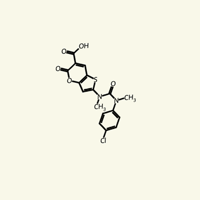 CN(C(=O)N(C)c1cc2oc(=O)c(C(=O)O)cc2s1)c1ccc(Cl)cc1